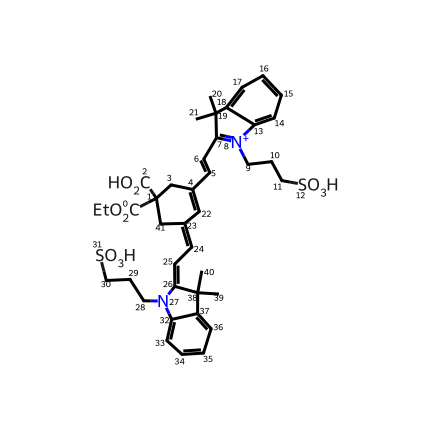 CCOC(=O)C1(C(=O)O)CC(/C=C/C2=[N+](CCCS(=O)(=O)O)c3ccccc3C2(C)C)=CC(=C/C=C2/N(CCCS(=O)(=O)O)c3ccccc3C2(C)C)/C1